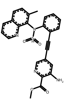 COC(=O)c1ncc(C#Cc2ccccc2N(c2c(C)ccc3cccnc23)[SH](=O)=O)cc1N